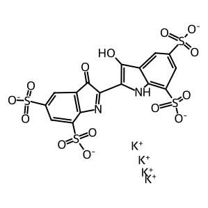 O=C1C(c2[nH]c3c(S(=O)(=O)[O-])cc(S(=O)(=O)[O-])cc3c2O)=Nc2c1cc(S(=O)(=O)[O-])cc2S(=O)(=O)[O-].[K+].[K+].[K+].[K+]